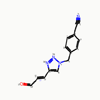 N#Cc1ccc(Cn2cc(/C=C/C=O)nn2)cc1